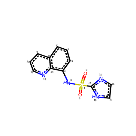 O=S(=O)(Nc1cccc2cccnc12)c1ncc[nH]1